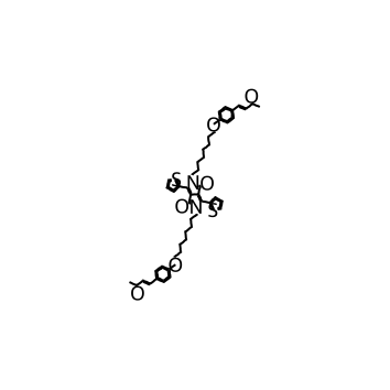 CC(=O)C=Cc1ccc(OCCCCCCCCN2C(=O)C3=C(c4cccs4)N(CCCCCCCCOc4ccc(C=CC(C)=O)cc4)C(=O)C3=C2c2cccs2)cc1